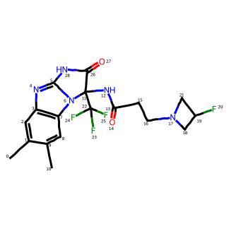 Cc1cc2nc3n(c2cc1C)C(NC(=O)CCN1CC(F)C1)(C(F)(F)F)C(=O)N3